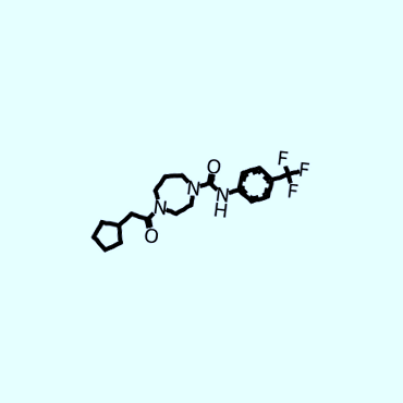 O=C(CC1CCCC1)N1CCCN(C(=O)Nc2ccc(C(F)(F)F)cc2)CC1